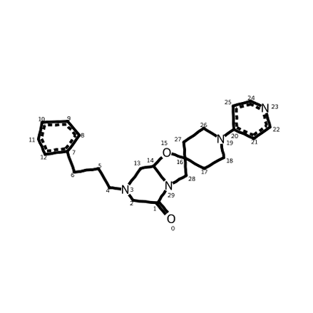 O=C1CN(CCCc2ccccc2)CC2OC3(CCN(c4ccncc4)CC3)CN12